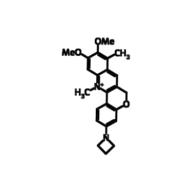 COc1cc2c(cc3c([n+]2C)-c2ccc(N4CCC4)cc2OC3)c(C)c1OC